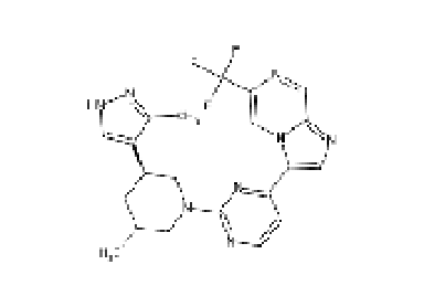 Cc1n[nH]cc1[C@@H]1C[C@@H](C)CN(c2nccc(-c3cnc4cnc(C(F)(F)F)cn34)n2)C1